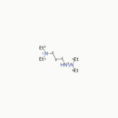 CCN(CC)CCCNN(CC)CC